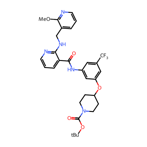 COc1ncccc1CNc1ncccc1C(=O)Nc1cc(OC2CCN(C(=O)OC(C)(C)C)CC2)cc(C(F)(F)F)c1